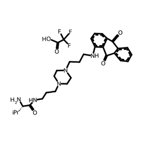 CC(C)[C@H](N)C(=O)NCCCN1CCN(CCCNc2cccc3c2C(=O)c2ccccc2C3=O)CC1.O=C(O)C(F)(F)F